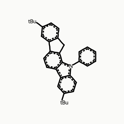 CC(C)(C)c1ccc2c(c1)-c1ccc3c4cc(C(C)(C)C)ccc4n(-c4ccccc4)c3c1C2